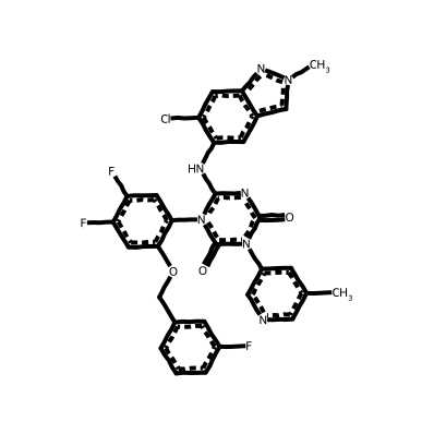 Cc1cncc(-n2c(=O)nc(Nc3cc4cn(C)nc4cc3Cl)n(-c3cc(F)c(F)cc3OCc3cccc(F)c3)c2=O)c1